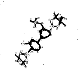 CCc1cc(-c2ccc(B3OC(C)(C)C(C)(C)O3)c(C[N+](C)(C)C)c2)ccc1B1OC(C)(C)C(C)(C)O1